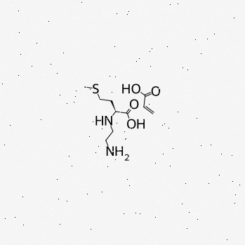 C=CC(=O)O.CSCC[C@H](NCCN)C(=O)O